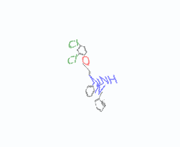 N=c1n(CCCOc2ccc(Cl)cc2Cl)c2ccccc2n1Cc1ccccc1